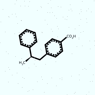 C[C@H](Cc1ccc(C(=O)O)cc1)c1ccccc1